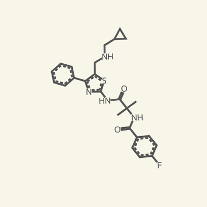 CC(C)(NC(=O)c1ccc(F)cc1)C(=O)Nc1nc(-c2ccccc2)c(CNCC2CC2)s1